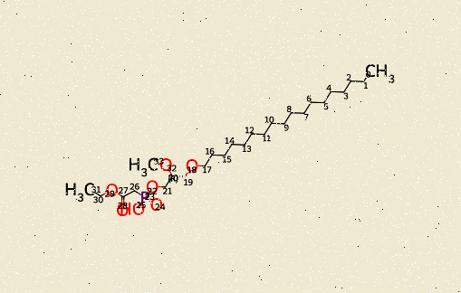 CCCCCCCCCCCCCCCCCCOC[C@H](COP(=O)(O)CC(=O)OCC)OC